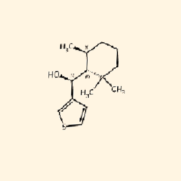 C[C@H]1CCCC(C)(C)[C@@H]1[C@H](O)c1ccsc1